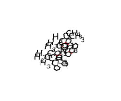 CC(C)(C)c1ccc(N(c2ccccc2-c2cccc3c2-c2ccccc2C3(C)c2ccccc2)c2ccccc2-c2cccc3cccc(-c4cc(C(C)(C)C)cc(C(C)(C)C)c4)c23)cc1